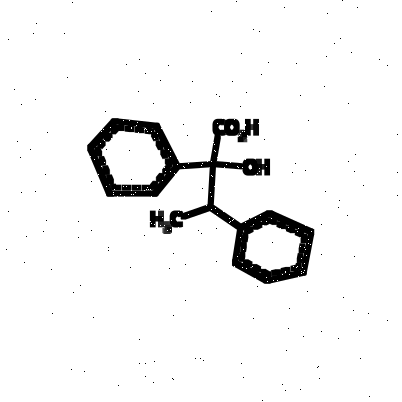 CC(c1ccccc1)C(O)(C(=O)O)c1ccccc1